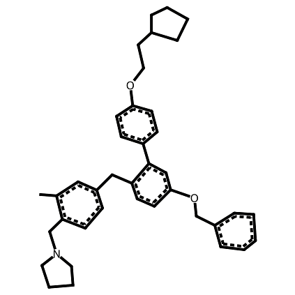 Cc1cc(Cc2ccc(OCc3ccccc3)cc2-c2ccc(OCCC3CCCC3)cc2)ccc1CN1CCCC1